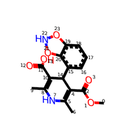 COC(=O)C1=C(C)NC(C)=C(C(=O)O)C1c1cccc2c1ONO2